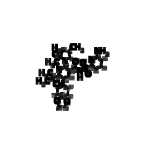 CC1CN(c2nc(C(C)(C)C)c(C3=CCC4(CC3)OCCO4)cc2C(=O)NS(=O)(=O)c2cccc(N)n2)C(C)(C)C1